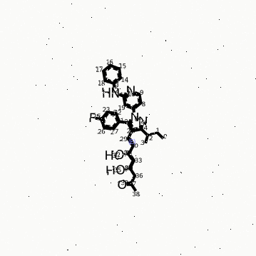 CCC(C)c1nn(-c2ccnc(Nc3ccccc3)c2)c(-c2ccc(F)cc2)c1/C=C/[C@@H](O)C[C@@H](O)CC(C)=O